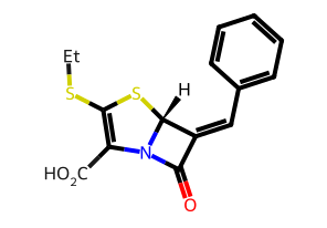 CCSC1=C(C(=O)O)N2C(=O)/C(=C/c3ccccc3)[C@H]2S1